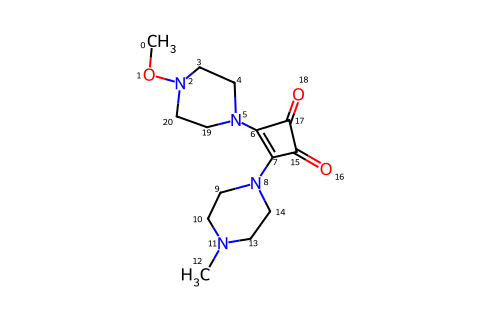 CON1CCN(c2c(N3CCN(C)CC3)c(=O)c2=O)CC1